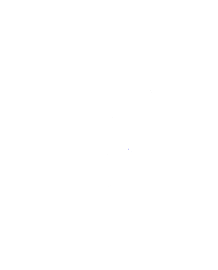 CC1C(=O)CCc2c(CC(=O)O)c3cccc(F)n3c21